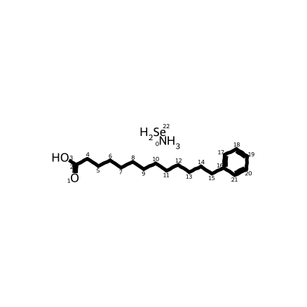 N.O=C(O)CCCCCCCCCCCCc1ccccc1.[SeH2]